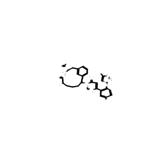 C[C@@H]1CCCC(n2cnc(-c3cc(Cl)ccc3-n3cc(Cl)nn3)cc2=O)c2cccc(c2)C[C@H](C(=O)O)NC1=O